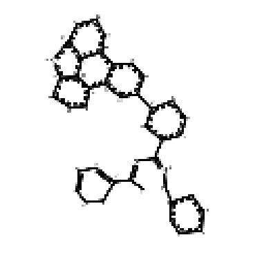 C/C(=N\C(=N/Cc1ccccc1)c1cccc(-c2ccc3c(c2)c2cccc4sc5cccc3c5c42)c1)C1=CC=CCC1